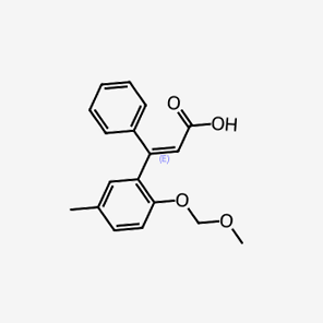 COCOc1ccc(C)cc1/C(=C/C(=O)O)c1ccccc1